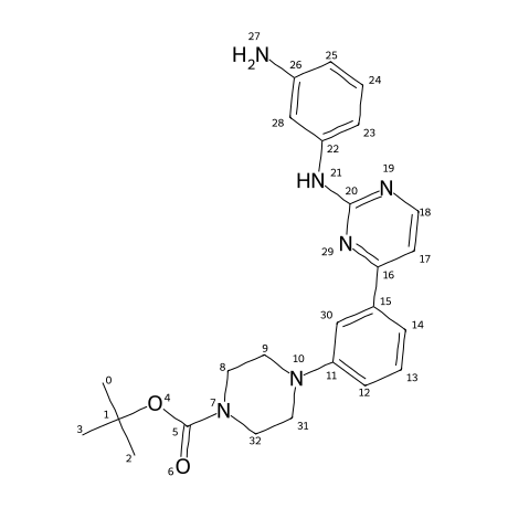 CC(C)(C)OC(=O)N1CCN(c2cccc(-c3ccnc(Nc4cccc(N)c4)n3)c2)CC1